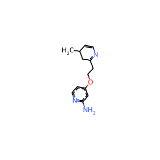 CC1C=CN=C(CCOc2ccnc(N)c2)C1